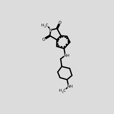 CNC1CCC(CNc2ccc3c(c2)C(=O)N(C)C3=O)CC1